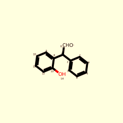 O=[C]C(c1ccccc1)c1ccccc1O